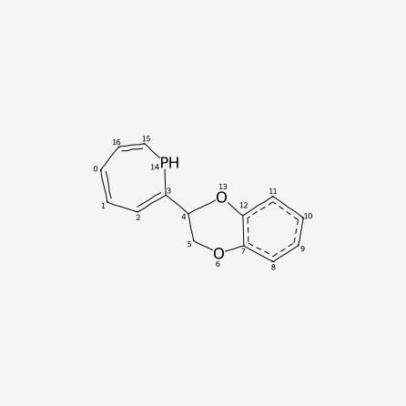 C1=CC=C(C2COc3ccccc3O2)PC=C1